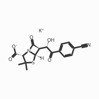 CC1(C)S[C@@H]2[C@H]([C@H](O)C(=O)c3ccc(C#N)cc3)C(=O)N2[C@H]1C(=O)[O-].[K+]